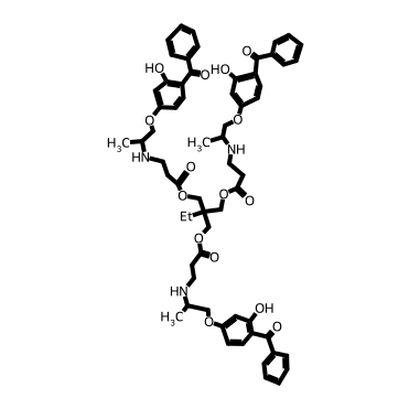 CCC(COC(=O)CCNC(C)COc1ccc(C(=O)c2ccccc2)c(O)c1)(COC(=O)CCNC(C)COc1ccc(C(=O)c2ccccc2)c(O)c1)COC(=O)CCNC(C)COc1ccc(C(=O)c2ccccc2)c(O)c1